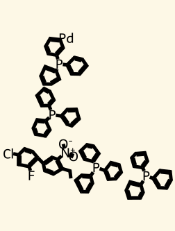 CCc1ccc(-c2ccc(Cl)cc2F)cc1[N+](=O)[O-].[Pd].c1ccc(P(c2ccccc2)c2ccccc2)cc1.c1ccc(P(c2ccccc2)c2ccccc2)cc1.c1ccc(P(c2ccccc2)c2ccccc2)cc1.c1ccc(P(c2ccccc2)c2ccccc2)cc1